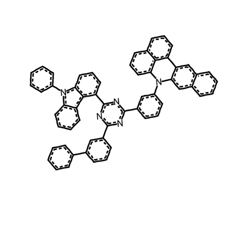 c1ccc(-c2cccc(-c3nc(-c4cccc(N5c6cc7ccccc7cc6-c6cccc7cccc5c67)c4)nc(-c4cccc5c4c4ccccc4n5-c4ccccc4)n3)c2)cc1